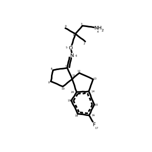 CC(C)(CN)ON=C1CCCC12CCc1cc(F)ccc12